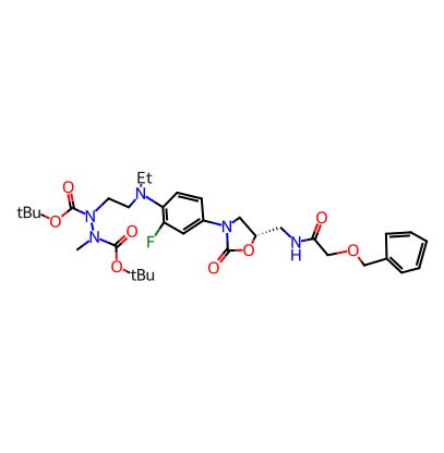 CCN(CCN(C(=O)OC(C)(C)C)N(C)C(=O)OC(C)(C)C)c1ccc(N2C[C@H](CNC(=O)COCc3ccccc3)OC2=O)cc1F